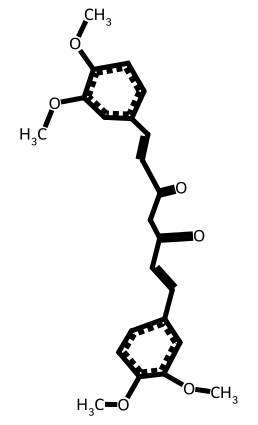 COc1ccc(C=CC(=O)CC(=O)C=Cc2ccc(OC)c(OC)c2)cc1OC